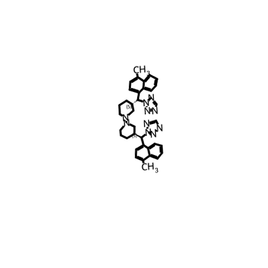 Cc1ccc(C([C@H]2CCCN(N3CCC[C@H](C(c4ccc(C)c5ccccc45)n4ncnn4)C3)C2)n2ncnn2)c2ccccc12